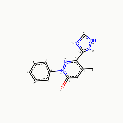 Cc1cc(=O)n(-c2ccccc2)nc1-c1nc[nH]n1